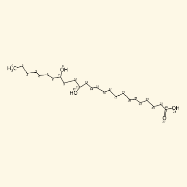 CCCCCCCC(O)CCC(O)CCCCCCCCCCCCCC(=O)O